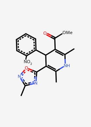 COC(=O)C1=C(C)NC(C)=C(c2nc(C)no2)C1c1ccccc1[N+](=O)[O-]